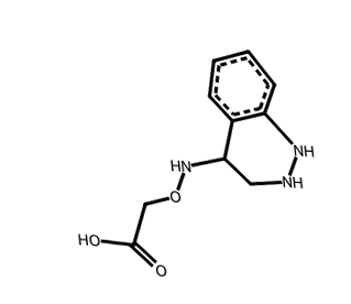 O=C(O)CONC1CNNc2ccccc21